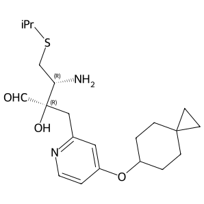 CC(C)SC[C@H](N)[C@@](O)(C=O)Cc1cc(OC2CCC3(CC2)CC3)ccn1